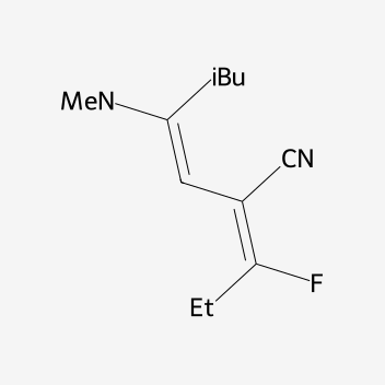 CC/C(F)=C(C#N)\C=C(\NC)C(C)CC